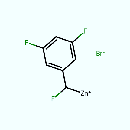 Fc1cc(F)cc([CH](F)[Zn+])c1.[Br-]